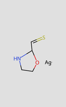 S=CC1NCCO1.[Ag]